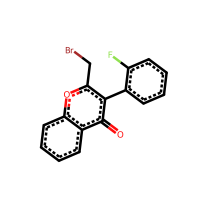 O=c1c(-c2ccccc2F)c(CBr)oc2ccccc12